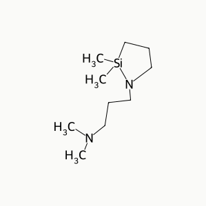 CN(C)CCCN1CCC[Si]1(C)C